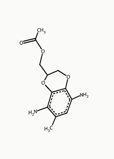 CC(=O)OCC1COc2c(N)cc(C)c(N)c2O1